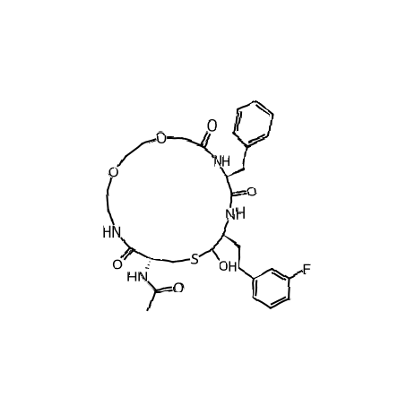 CC(=O)N[C@H]1CSC(O)[C@H](CCc2cccc(F)c2)NC(=O)[C@H](Cc2ccccc2)NC(=O)COCCOCCNC1=O